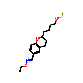 CCO/N=C/c1ccc2c(c1)CCC(CCCCOSI)O2